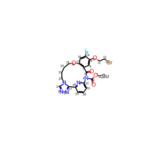 CC(C)(C)OC(=O)N1C(=O)c2cc(OCCBr)c(F)cc2OCCCCn2cnnc2-c2cccc1n2